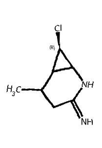 CC1CC(=N)NC2C1[C@H]2Cl